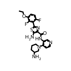 CCOc1ccc(F)c(-c2nc(C(=O)Nc3cnccc3N3CCCC(N)C3)c(N)s2)c1F